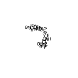 O=C(CO[C@H]1CC[C@H](Nc2ccc([N+](=O)[O-])c(C(F)(F)F)c2)CC1)N1CCN(c2ccc3cc(Br)ccc3n2)CC1